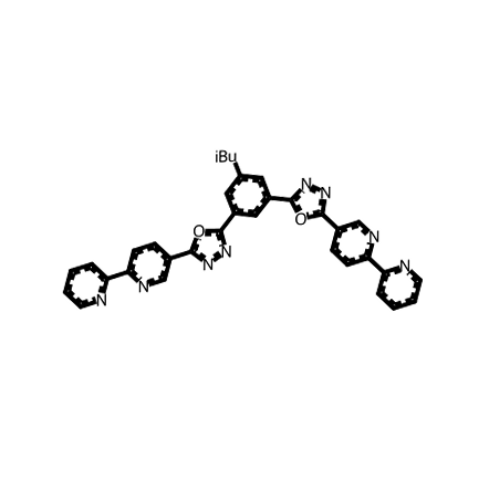 CCC(C)c1cc(-c2nnc(-c3ccc(-c4ccccn4)nc3)o2)cc(-c2nnc(-c3ccc(-c4ccccn4)nc3)o2)c1